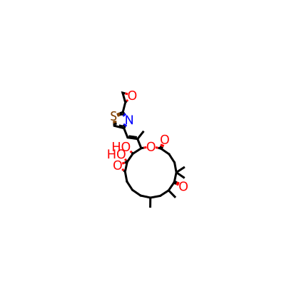 CC(=Cc1csc(C2CO2)n1)C1OC(=O)CCC(C)(C)C(=O)C(C)CC(C)CCCC2OC2(O)C1O